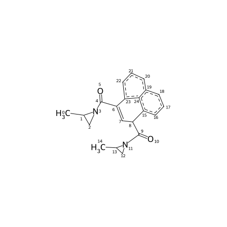 CC1CN1C(=O)C1=CC(C(=O)N2CC2C)c2cccc3cccc1c23